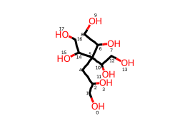 OCC(O)CC(C(O)CO)(C(O)CO)C(O)CO